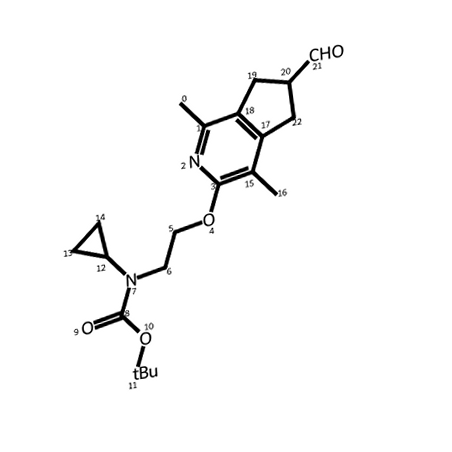 Cc1nc(OCCN(C(=O)OC(C)(C)C)C2CC2)c(C)c2c1CC(C=O)C2